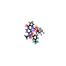 CC(C)(C)OC(=O)N[C@@H]1CCC[C@@H]1C(=O)N1CCC(N(C2CC2)S(=O)(=O)c2cccc(C(F)(F)F)c2)CC1